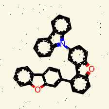 C1=CC2c3ccccc3OC2C=C1c1cccc2oc3ccc(-n4c5ccccc5c5ccccc54)cc3c12